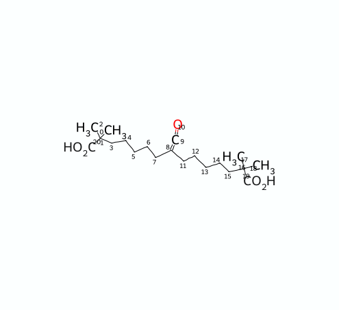 CC(C)(CCCCCC(=C=O)CCCCCC(C)(C)C(=O)O)C(=O)O